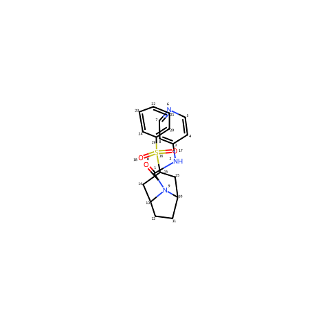 O=C(Nc1ccncc1)N1C2CCC1CC(S(=O)(=O)c1ccccc1)C2